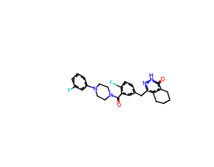 O=C(c1cc(Cc2n[nH]c(=O)c3c2CCCC3)ccc1F)N1CCN(c2cccc(F)c2)CC1